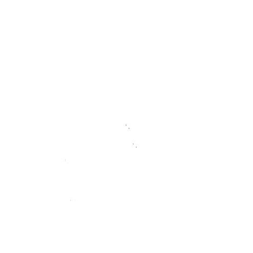 Cc1ccc(CCn2nc3c(c2C)C(=O)C(=O)c2ccccc2-3)cc1